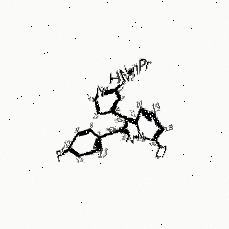 CCCNc1cc(-c2c(-c3ccc(F)cc3)nn3c(Cl)cccc23)ccn1